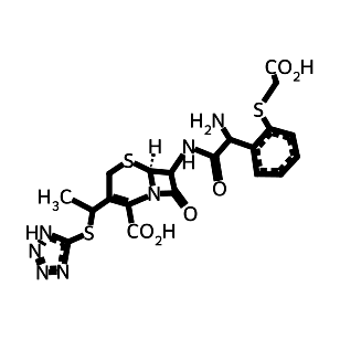 CC(Sc1nnn[nH]1)C1=C(C(=O)O)N2C(=O)C(NC(=O)C(N)c3ccccc3SCC(=O)O)[C@@H]2SC1